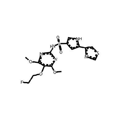 COc1nc(NS(=O)(=O)c2c[nH]c(-c3cscn3)c2)nc(OC)c1OCCF